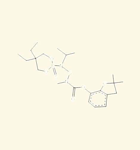 CCC1(CC)COP(=S)(N(SN(C)C(=O)Oc2cccc3c2OC(C)(C)C3)C(C)C)OC1